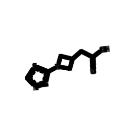 O=C(O)CC1CN(c2nncs2)C1